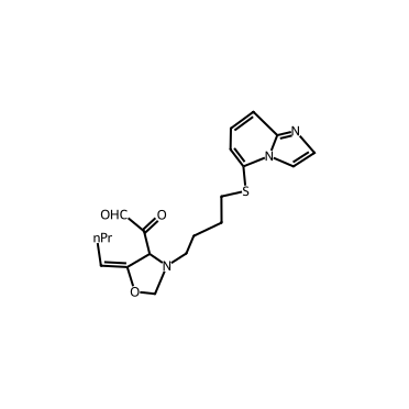 CCCC=C1OCN(CCCCSc2cccc3nccn23)C1C(=O)C=O